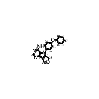 Nc1ncnc2c3c(n(-c4ccc(Oc5ccccc5)cc4)c12)COC3